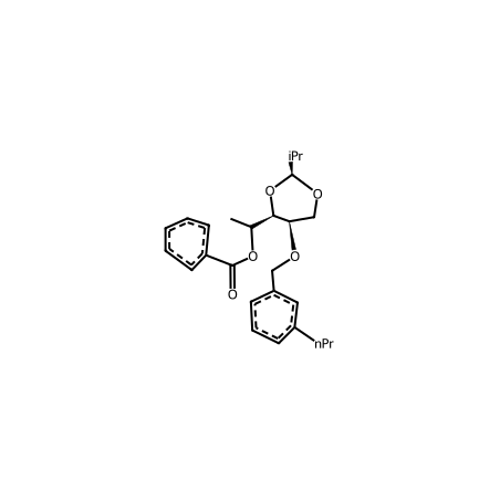 CCCc1cccc(CO[C@@H]2CO[C@H](C(C)C)O[C@@H]2C(C)OC(=O)c2ccccc2)c1